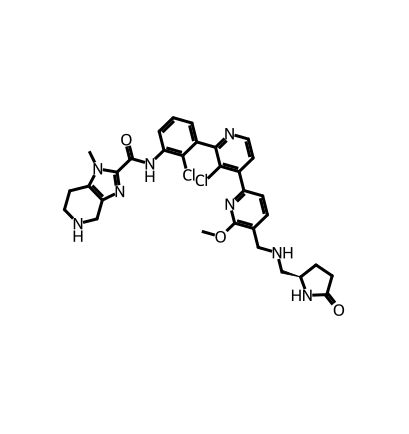 COc1nc(-c2ccnc(-c3cccc(NC(=O)c4nc5c(n4C)CCNC5)c3Cl)c2Cl)ccc1CNC[C@H]1CCC(=O)N1